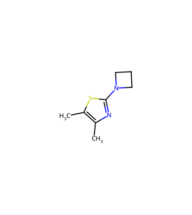 Cc1nc(N2CCC2)sc1C